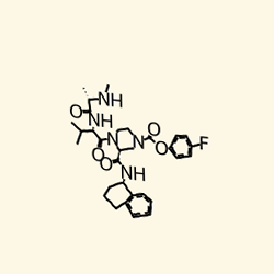 CN[C@@H](C)C(=O)N[C@H](C(=O)N1CCN(C(=O)Oc2ccc(F)cc2)C[C@H]1C(=O)N[C@@H]1CCCc2ccccc21)C(C)C